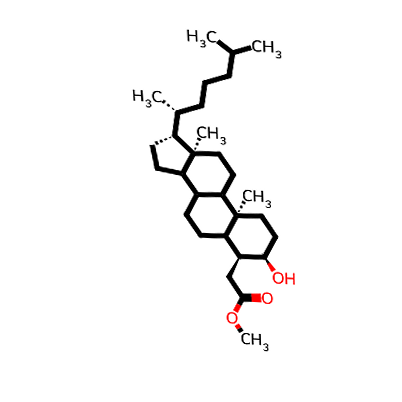 COC(=O)C[C@H]1C2CCC3C(CC[C@@]4(C)C3CC[C@@H]4[C@H](C)CCCC(C)C)[C@@]2(C)CC[C@H]1O